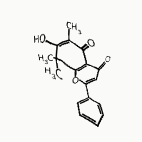 CC1=C(O)C(C)(C)c2oc(-c3ccccc3)cc(=O)c2C1=O